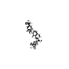 CS(=O)(=O)N1CC(C(=O)N2CCc3ccc(Oc4ccc(C(F)(F)F)cc4)cc3C2)C1